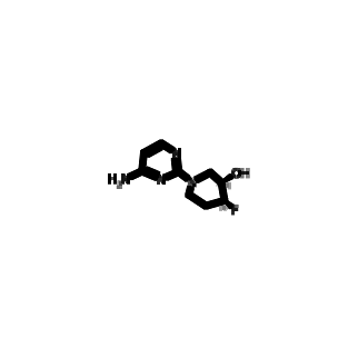 Nc1ccnc(N2CC[C@H](F)[C@H](O)C2)n1